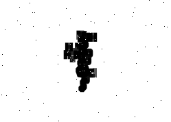 C=CCOc1ccc(CC(=O)N(N)C(=O)[C@@H](N)Cc2cnc[nH]2)cc1Cl